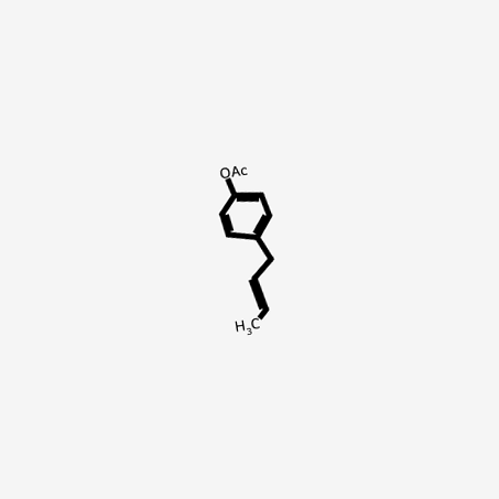 CC=CCc1ccc(OC(C)=O)cc1